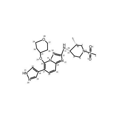 C[C@@H]1CN(S(C)(=O)=O)CC[C@@H]1Nc1nc2ccc(-c3cn[nH]c3)c(OC3CCOCC3)n2n1